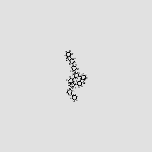 c1ccc(-c2cccc(-c3cccc(-c4ccc5sc6cccc(-c7nc(-c8ccccc8)nc(-c8ccc(-c9ccc%10c(c9)oc9ccccc9%10)cc8)n7)c6c5c4)c3)c2)cc1